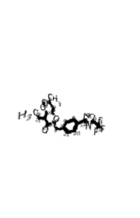 CCCCON(Cc1ccc(-c2noc(C(F)(F)F)n2)cc1)C(=O)C(CC)COC